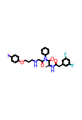 C[C@H](NC(=O)Cc1cc(F)cc(F)c1)C(=O)N(C(=O)CNCCCOc1ccc(I)cc1)c1ccccc1